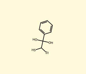 CCC(S)C(O)(O)c1ccccc1